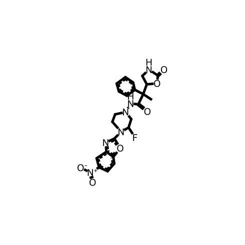 CC(C(=O)NN1CCN(c2nc3cc([N+](=O)[O-])ccc3o2)C(F)C1)(c1ccccc1)C1CNC(=O)O1